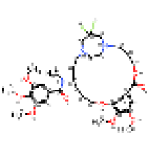 COc1cc(C(=O)N(C)[C@H]2CCCOc3cc(cc(OC)c3OC)C(=O)OCCCN3CCN(CC2)CC(F)(F)C3)cc(OC)c1OC